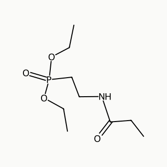 CCOP(=O)(CCNC(=O)CC)OCC